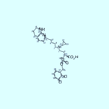 O=C(N[C@@H](CCN(CCCCc1ccc2c(n1)NCCC2)C1CC1)C(=O)O)OCc1cccc(Cl)c1Cl